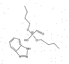 CCCCO[PH](O)(C=O)OCCCC.c1ccc2[nH]nnc2c1